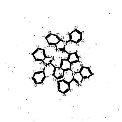 c1ccc(-c2nc3ccccc3n2-c2c3cccc(-c4nc5ccccc5n4-c4ccccc4)c3cc3c(-c4nc5ccccc5n4-c4ccccc4)cccc23)cc1